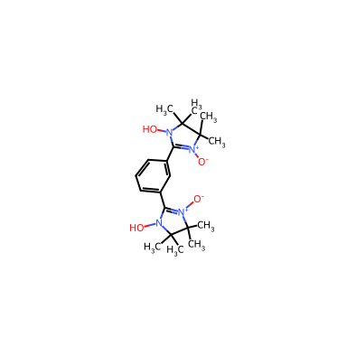 CC1(C)N(O)C(c2cccc(C3=[N+]([O-])C(C)(C)C(C)(C)N3O)c2)=[N+]([O-])C1(C)C